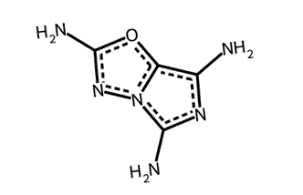 Nc1nn2c(N)nc(N)c2o1